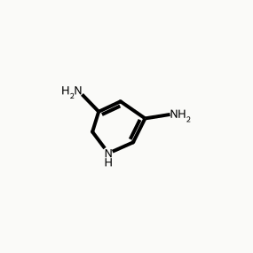 NC1=CNCC(N)=C1